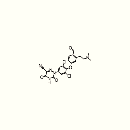 CN(C)CCc1cc(Oc2c(Cl)cc(-n3nc(C#N)c(=O)[nH]c3=O)cc2Cl)ccc1C=O